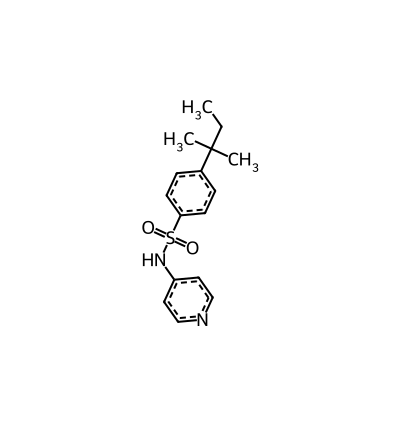 CCC(C)(C)c1ccc(S(=O)(=O)Nc2ccncc2)cc1